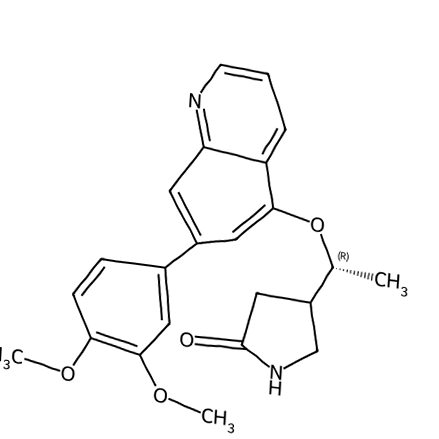 COc1ccc(-c2cc(O[C@H](C)C3CNC(=O)C3)c3cccnc3c2)cc1OC